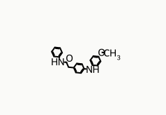 COc1ccc(Nc2ccc(CC(=O)Nc3ccccc3)cc2)cc1